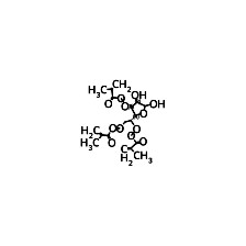 C=C(C)C(=O)OOCC(OOC(=O)C(=C)C)[C@H]1OC(O)[C@H](O)[C@H]1OOC(=O)C(=C)C